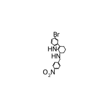 O=[N+]([O-])c1ccc(CNC2CCCc3c2[nH]c2ccc(Br)cc32)cc1